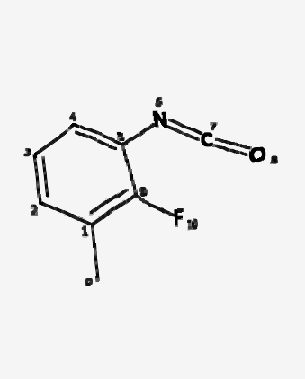 Cc1cccc(N=C=O)c1F